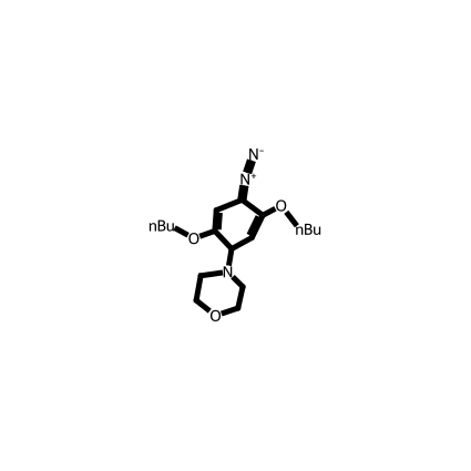 CCCCOC1=CC(N2CCOCC2)C(OCCCC)=CC1=[N+]=[N-]